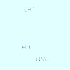 CNNCCC=O